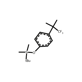 CC(C)(c1ccc(O[Si](C)(C)C(C)(C)C)cc1)C(F)(F)F